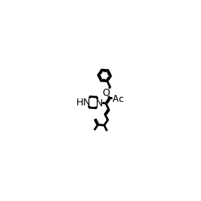 C=C(C)C(C)C/C=C/C(=C(/OCc1ccccc1)C(C)=O)N1CCNCC1